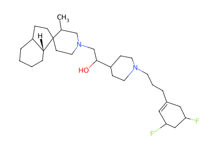 CC1CN(CC(O)C2CCN(CCCC3=CC(F)CC(F)C3)CC2)CCC12CCC1CCCC[C@H]12